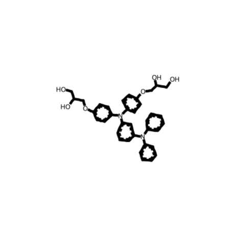 OCC(O)COc1ccc(N(c2ccc(OCC(O)CO)cc2)c2cccc(N(c3ccccc3)c3ccccc3)c2)cc1